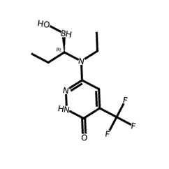 CC[C@@H](BO)N(CC)c1cc(C(F)(F)F)c(=O)[nH]n1